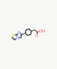 O=C(O)Cc1ccc(-c2cn3ccsc3n2)cc1